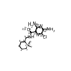 C[N+]1(C)CCCC[C@H]1CNC(=O)c1nc(Cl)c(N)nc1N.[I-]